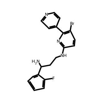 NC(CCNc1ccc(Br)c(-c2ccncc2)n1)c1ccccc1F